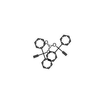 C#CC(OS(=O)OC(C#C)(c1ccccc1)c1ccccc1)(c1ccccc1)c1ccccc1